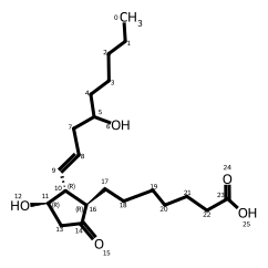 CCCCCC(O)CC=C[C@H]1[C@H](O)CC(=O)[C@@H]1CCCCCCC(=O)O